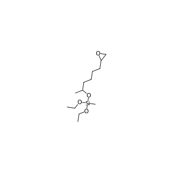 CCO[Si](C)(OCC)OC(C)CCCCC1CO1